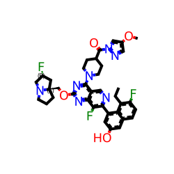 CCc1c(F)ccc2cc(O)cc(-c3ncc4c(N5CCC(C(=O)n6cc(OC)cn6)CC5)nc(OC[C@@]56CCCN5C[C@H](F)C6)nc4c3F)c12